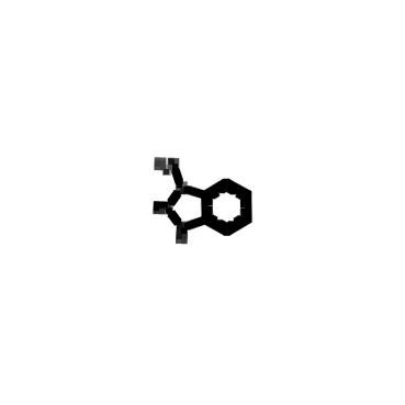 NN1NNc2ccccc21